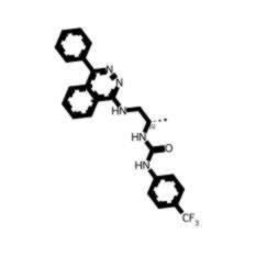 C[C@@H](CNc1nnc(-c2ccccc2)c2ccccc12)NC(=O)Nc1ccc(C(F)(F)F)cc1